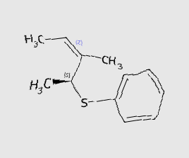 C/C=C(/C)[C@H](C)Sc1ccccc1